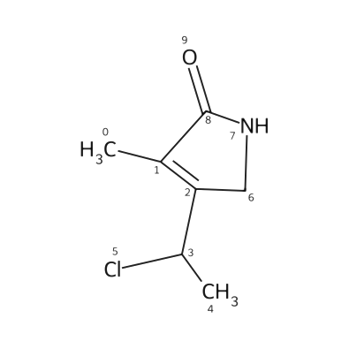 CC1=C(C(C)Cl)CNC1=O